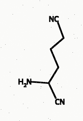 N#CCCCC(N)C#N